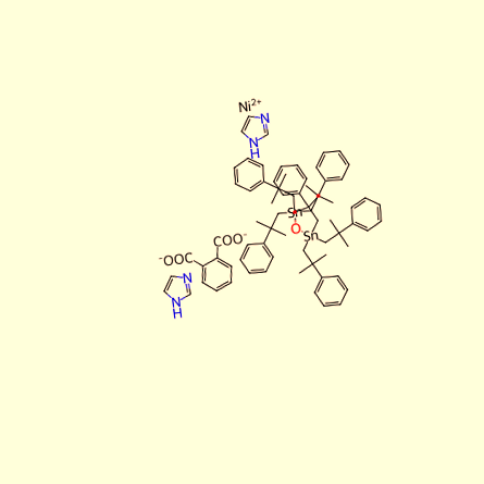 CC(C)([CH2][Sn]([CH2]C(C)(C)c1ccccc1)([CH2]C(C)(C)c1ccccc1)[O][Sn]([CH2]C(C)(C)c1ccccc1)([CH2]C(C)(C)c1ccccc1)[CH2]C(C)(C)c1ccccc1)c1ccccc1.O=C([O-])c1ccccc1C(=O)[O-].[Ni+2].c1c[nH]cn1.c1c[nH]cn1